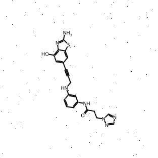 Nc1nc2c(O)cc(C#CCNc3cccc(NC(=O)CCn4cncn4)c3)cc2s1